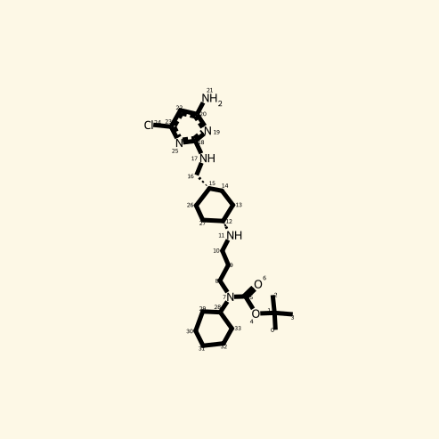 CC(C)(C)OC(=O)N(CCCN[C@H]1CC[C@@H](CNc2nc(N)cc(Cl)n2)CC1)C1CCCCC1